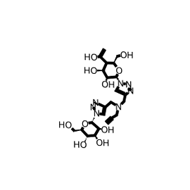 C#CCN(Cc1cn([C@@H]2O[C@H](CO)C(C(=C)O)[C@H](O)[C@@H]2O)nn1)Cc1cn([C@H]2O[C@H](CO)[C@@H](O)[C@H](O)[C@@H]2O)nn1